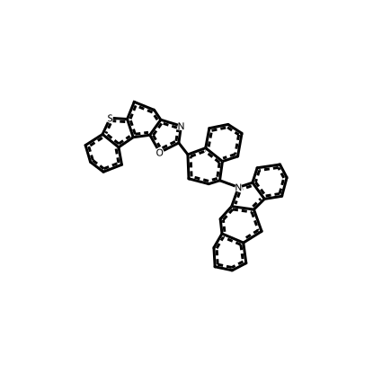 c1ccc2cc3c(cc2c1)c1ccccc1n3-c1ccc(-c2nc3ccc4sc5ccccc5c4c3o2)c2ccccc12